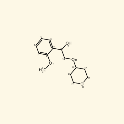 COc1ccccc1C(O)COC1CCOCC1